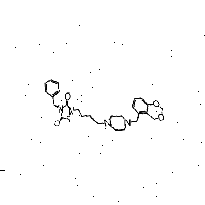 O=c1sn(CCCCN2CCN(Cc3cccc4c3COCO4)CC2)c(=O)n1Cc1ccccc1